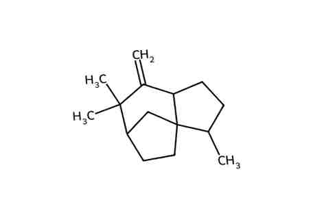 C=C1C2CCC(C)C23CCC(C3)C1(C)C